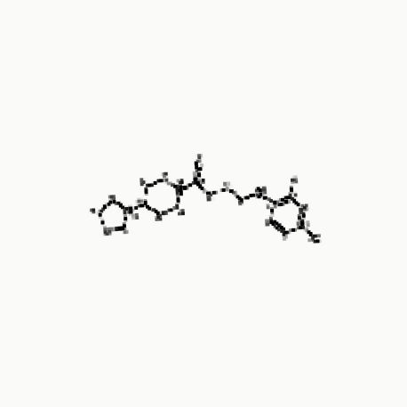 Cc1cc(Cl)ccc1OCCCC(=O)N1CCC(N2CCCC2)CC1